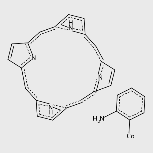 C1=Cc2cc3ccc(cc4nc(cc5ccc(cc1n2)[nH]5)C=C4)[nH]3.Nc1cccc[c]1[Co]